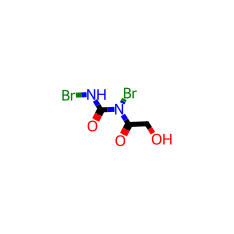 O=C(CO)N(Br)C(=O)NBr